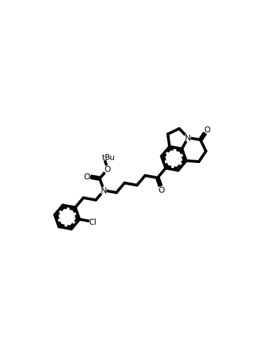 CC(C)(C)OC(=O)N(CCCCC(=O)c1cc2c3c(c1)CCN3C(=O)CC2)CCc1ccccc1Cl